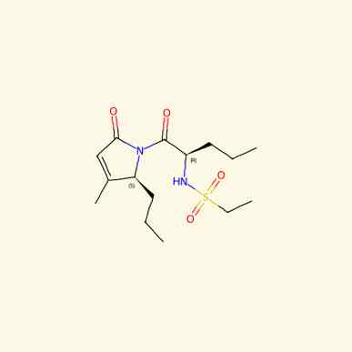 CCC[C@@H](NS(=O)(=O)CC)C(=O)N1C(=O)C=C(C)[C@@H]1CCC